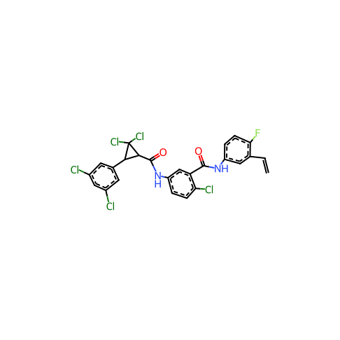 C=Cc1cc(NC(=O)c2cc(NC(=O)C3C(c4cc(Cl)cc(Cl)c4)C3(Cl)Cl)ccc2Cl)ccc1F